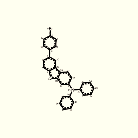 Brc1ccc(-c2ccc3sc4cc(N(c5ccccc5)c5ccccc5)ccc4c3c2)cc1